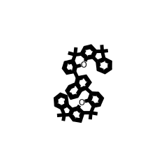 CC1(C)c2cccc(-c3ccc(-c4cccc5c4Oc4c(ccc6c4-c4ccccc4C6(C)C)C5(C)C)c4ccccc34)c2Oc2c1ccc1c2-c2ccccc2C1(C)C